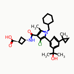 Cc1c(C(=O)N[C@H]2C[C@H](C(=O)O)C2)c(Cl)c(-c2cc(C(C)(C)O)cc(C3(C)CC3)c2)n1CC1CCCCC1